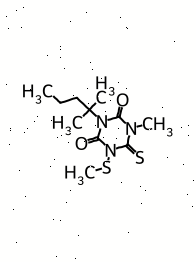 CCCC(C)(C)n1c(=O)n(C)c(=S)n(SC)c1=O